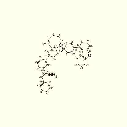 C=C1CCCCN([C@@]2(C)C=CC(c3cccc4oc5c(c34)C=CCC5)=CC2)C2=C1C=C(c1cccc([C@@H](N)CC3=CCCC=C3)c1)CC2